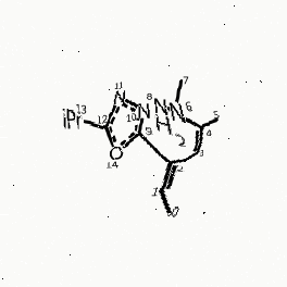 C/C=C(\C=C(\C)N(C)N)c1nnc(C(C)C)o1